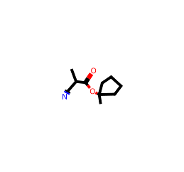 CC(C#N)C(=O)OC1(C)CCCC1